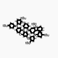 CC(C)(C)c1ccc(N(c2ccc(C(C)(C)C)cc2)c2ccc3c(c2)B2c4cc(C(C)(C)C)ccc4N(c4cc(N(c5ccc(C(C)(C)C)cc5)c5ccc(C(C)(C)C)cc5)c5c6ccccc6n(C(C)(C)C)c5c4)c4cc(C(C)(C)C)cc(c42)O3)cc1